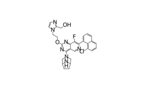 OCc1nccn1CCOc1nc(N2CC3CCC(C2)N3)c2cnc(-c3cccc4cccc(Cl)c34)c(F)c2n1